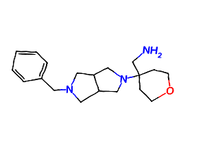 NCC1(N2CC3CN(Cc4ccccc4)CC3C2)CCOCC1